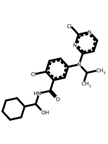 CC(C)N(c1ccc(Cl)c(C(=O)NC(O)C2CCCCC2)c1)c1ccnc(Cl)n1